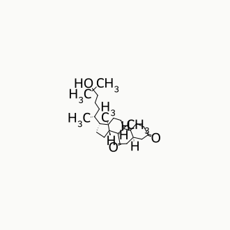 C[C@H](CCCC(C)(C)O)[C@H]1CC[C@H]2[C@@H]3C(=O)C[C@@H]4CC(=O)CC[C@]4(C)[C@H]3CC[C@]12C